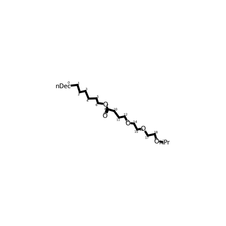 CCCCCCCCCCCCCCCCOC(=O)CCCOCCOCCOC(C)C